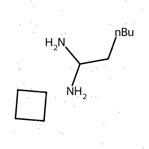 C1CCC1.CCCCCC(N)N